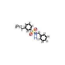 CC(C)Cc1cccc(S(=O)(=O)NCc2ccccc2)c1